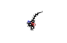 CCCCCCCCc1ccc(OC(=O)C2(c3ccc(C)cc3)CCCCC2)c(C#N)c1